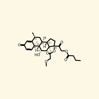 CCCC(=O)OCC(=O)[C@@]1(OC(=O)COC)CC[C@H]2[C@@H]3C[C@H](C)C4=CC(=O)C=C[C@]4(C)[C@H]3[C@@H](O)C[C@@]21C